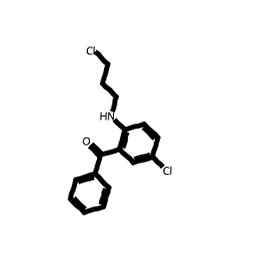 O=C(c1ccccc1)c1cc(Cl)ccc1NCCCCl